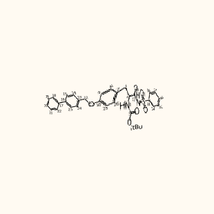 CC(C)(C)OC(=O)N[C@@H](Cc1ccc(OCc2ccc(-c3ccccc3)cc2)cc1)C(=O)NS(=O)(=O)c1ccccc1